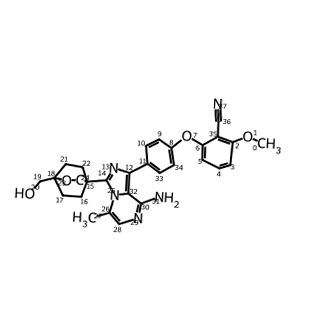 COc1cccc(Oc2ccc(-c3nc(C45CCC(CO)(CC4)OC5)n4c(C)cnc(N)c34)cc2)c1C#N